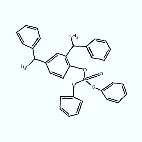 CC(c1ccccc1)c1ccc(OP(=O)(Oc2ccccc2)Oc2ccccc2)c(C(C)c2ccccc2)c1